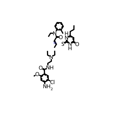 C/C=C/C(=O)N(CC)c1ccccc1C.CCCc1cc(=O)[nH]c(=S)[nH]1.CCN(CC)CCNC(=O)c1cc(Cl)c(N)cc1OC